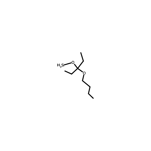 CCCCOC(CC)(CC)O[SiH3]